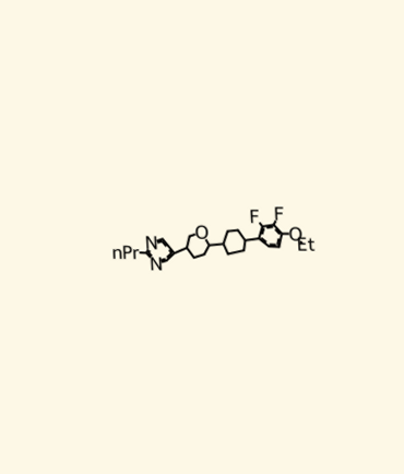 CCCc1ncc(C2CCC(C3CCC(c4ccc(OCC)c(F)c4F)CC3)OC2)cn1